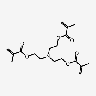 C=C(C)C(=O)OCCN(CCOC(=O)C(=C)C)CCOC(=O)C(=C)C